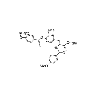 CCCCCCCOc1ccc(C(=O)Oc2ccc(CC(NC(=O)c3ccc(OC)cc3)C(=O)OC(C)(C)C)cc2OC)cc1